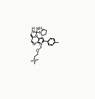 Cc1ccc(-c2cc3c(n2COCC[Si](C)(C)C)N=CC2=CNC(N)(N4CCCC4)N23)cc1